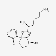 NCCCC[C@H](N)C(=O)N[C@]1(c2ccccc2Cl)CCC[C@H](O)C1=O